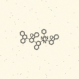 c1ccc(-c2nc(-c3cc(-c4ccc(-c5cc6ccccc6c6ccccc56)c5oc6ccccc6c45)c4ccccc4c3)nc(-c3cccc4c3oc3ccccc34)n2)cc1